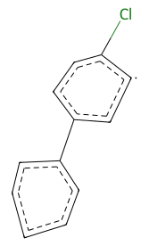 Clc1[c]cc(-c2ccccc2)cc1